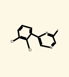 Clc1cccc(-c2cncc(I)n2)c1Cl